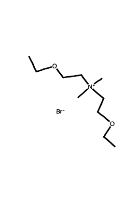 CCOCC[N+](C)(C)CCOCC.[Br-]